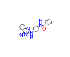 C=C(/N=C1/C=CC=C/C1=C(/N)N(C)C)N[C@H]1CC[C@@H](NC(=O)C2CC3C=CC2C3)CC1